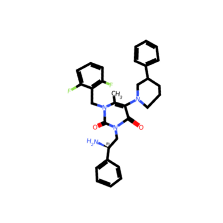 Cc1c(N2CCCC(c3ccccc3)C2)c(=O)n(C[C@H](N)c2ccccc2)c(=O)n1Cc1c(F)cccc1F